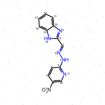 O=[N+]([O-])c1ccc(N/N=C/c2nc3ccccc3[nH]2)nc1